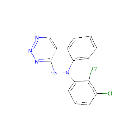 Clc1cccc(N(Nc2ccnnn2)c2ccccc2)c1Cl